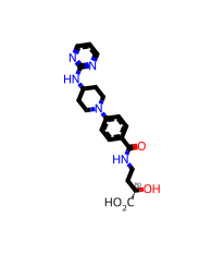 O=C(NCC[C@H](O)C(=O)O)c1ccc(N2CCC(Nc3ncccn3)CC2)cc1